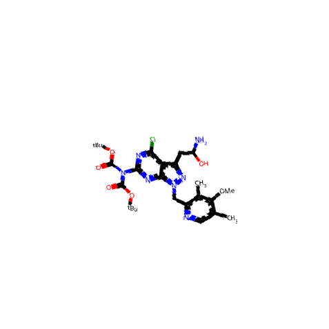 COc1c(C)cnc(Cn2nc(CC(N)O)c3c(Cl)nc(N(C(=O)OC(C)(C)C)C(=O)OC(C)(C)C)nc32)c1C